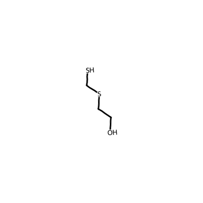 OCCSCS